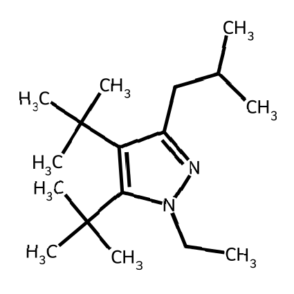 CCn1nc(CC(C)C)c(C(C)(C)C)c1C(C)(C)C